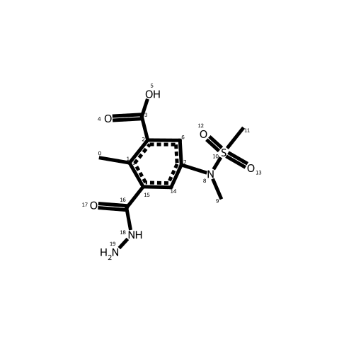 Cc1c(C(=O)O)cc(N(C)S(C)(=O)=O)cc1C(=O)NN